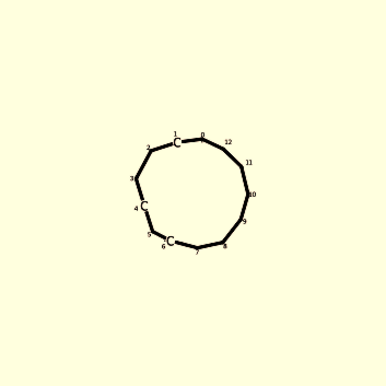 [CH]1CCCCC[CH]CCCCCC1